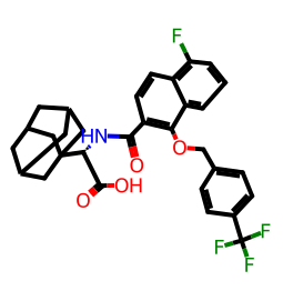 O=C(N[C@H](C(=O)O)C12CC3CC(CC(C3)C1)C2)c1ccc2c(F)cccc2c1OCc1ccc(C(F)(F)F)cc1